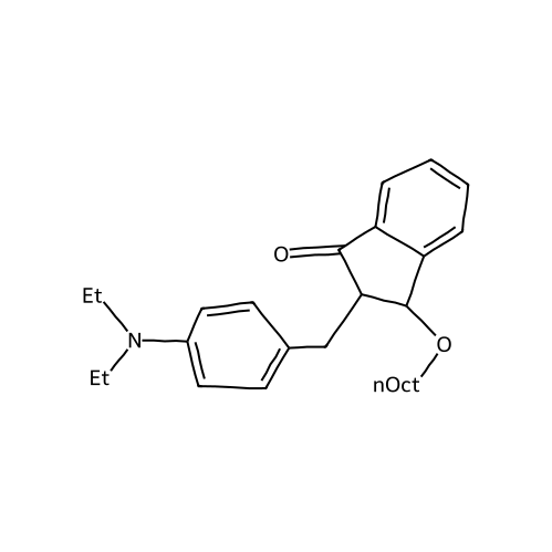 CCCCCCCCOC1c2ccccc2C(=O)C1Cc1ccc(N(CC)CC)cc1